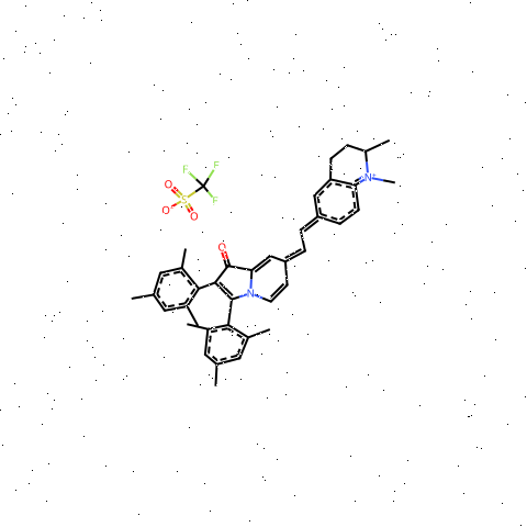 Cc1cc(C)c(C2=C(c3c(C)cc(C)cc3C)N3C=C/C(=C/C=c4\ccc5c(c4)CCC(C)[N+]=5C)C=C3C2=O)c(C)c1.O=S(=O)([O-])C(F)(F)F